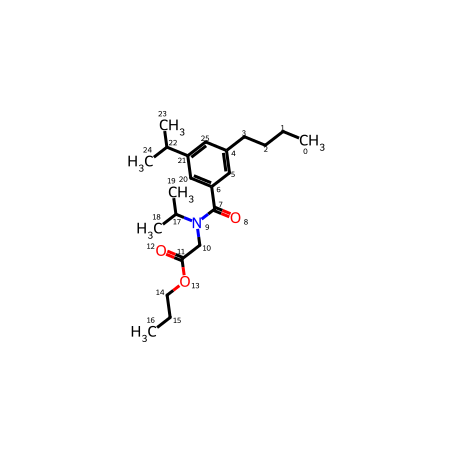 CCCCc1cc(C(=O)N(CC(=O)OCCC)C(C)C)cc(C(C)C)c1